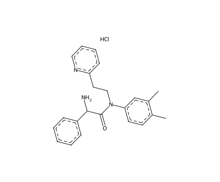 Cc1ccc(N(CCc2ccccn2)C(=O)C(N)c2ccccc2)cc1C.Cl